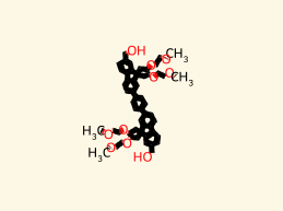 COCCOCCC1(CCOCCOC)c2cc(CO)ccc2-c2ccc(-c3ccc(-c4ccc5c(c4)C(CCOCCOC)(CCOCCOC)c4cc(CO)ccc4-5)cc3)cc21